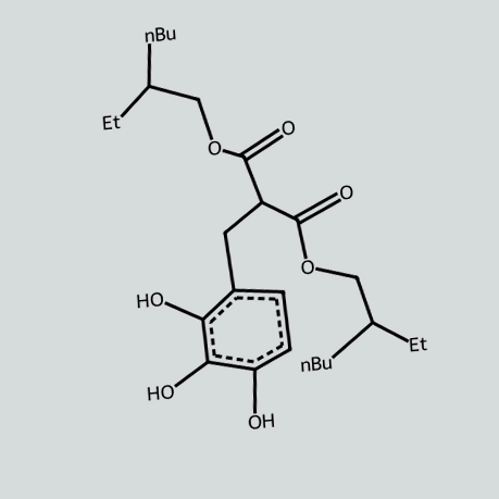 CCCCC(CC)COC(=O)C(Cc1ccc(O)c(O)c1O)C(=O)OCC(CC)CCCC